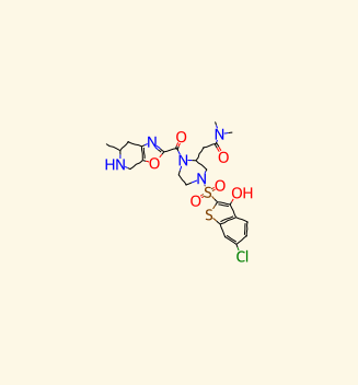 CC1Cc2nc(C(=O)N3CCN(S(=O)(=O)c4sc5cc(Cl)ccc5c4O)CC3CC(=O)N(C)C)oc2CN1